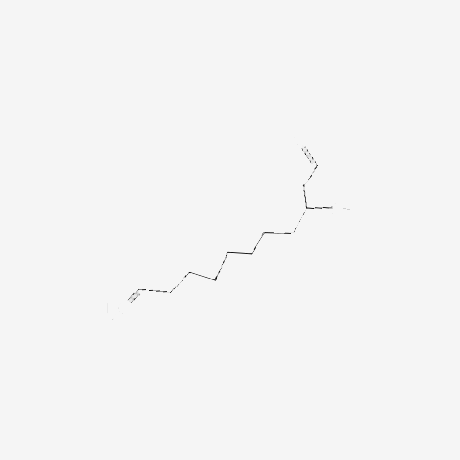 C=CCCCCCCCC(C)CC=C